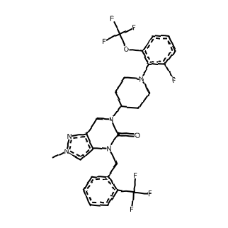 Cn1cc2c(n1)CN(C1CCN(c3c(F)cccc3OC(F)(F)F)CC1)C(=O)N2Cc1ccccc1C(F)(F)F